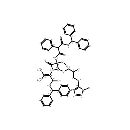 CO[C@@]1(NC(=O)C(C(=O)OC(c2ccccc2)c2ccccc2)c2ccccc2)C(=O)N(C(C(=O)OC(c2ccccc2)c2ccccc2)=C(C)C)[C@@H]1OCC(O)CSc1nnnn1C